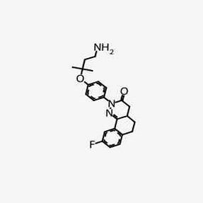 CC(C)(CCN)Oc1ccc(N2N=C3c4cc(F)ccc4CCC3CC2=O)cc1